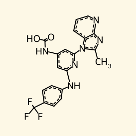 Cc1nc2ncccc2n1-c1cc(NC(=O)O)cc(Nc2ccc(C(F)(F)F)cc2)n1